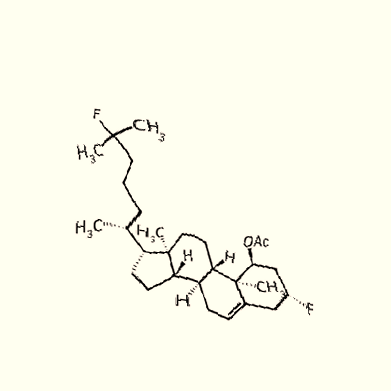 CC(=O)O[C@H]1C[C@H](F)CC2=CC[C@H]3[C@@H]4CC[C@H]([C@H](C)CCCC(C)(C)F)[C@@]4(C)CC[C@@H]3[C@]21C